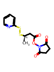 C[C@H](CC(=O)ON1C(=O)CCC1=O)SSc1ccccn1